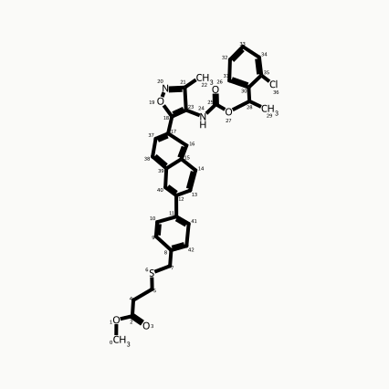 COC(=O)CCSCc1ccc(-c2ccc3cc(-c4onc(C)c4NC(=O)OC(C)c4ccccc4Cl)ccc3c2)cc1